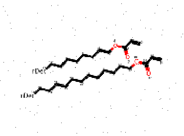 C=CC(=O)OCCCCCCCCCCCCCCCCCC.C=CC(=O)OCCCCCCCCCCCCCCCCCCCCCC